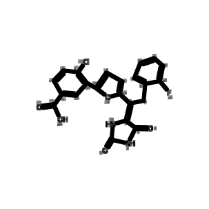 O=C1NC(=O)C(=C(Cc2ccccc2F)c2ccc(-c3cc(C(=O)O)ccc3Cl)o2)N1